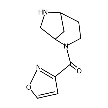 O=C(c1ccon1)N1CCC2CC1CN2